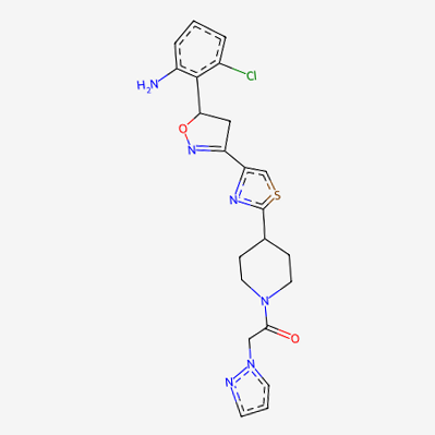 Nc1cccc(Cl)c1C1CC(c2csc(C3CCN(C(=O)Cn4cccn4)CC3)n2)=NO1